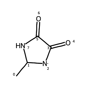 CC1[N]C(=O)C(=O)N1